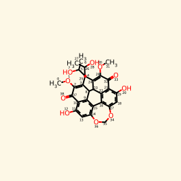 COC1=C(CC(C)O)C2c3c(c(O)cc4c3-c3c(cc(O)c5c3C2C(CC(C)O)=C(OC)C5=O)OCO4)C1=O